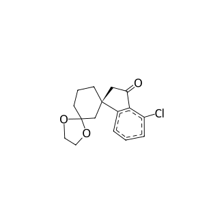 O=C1C[C@@]2(CCCC3(C2)OCCO3)c2cccc(Cl)c21